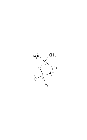 CC(C)(C)CC(C)(P)P